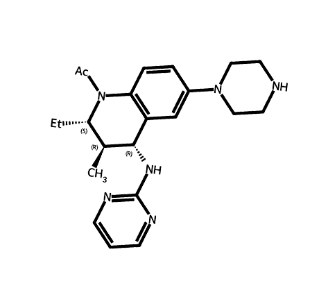 CC[C@H]1[C@H](C)[C@@H](Nc2ncccn2)c2cc(N3CCNCC3)ccc2N1C(C)=O